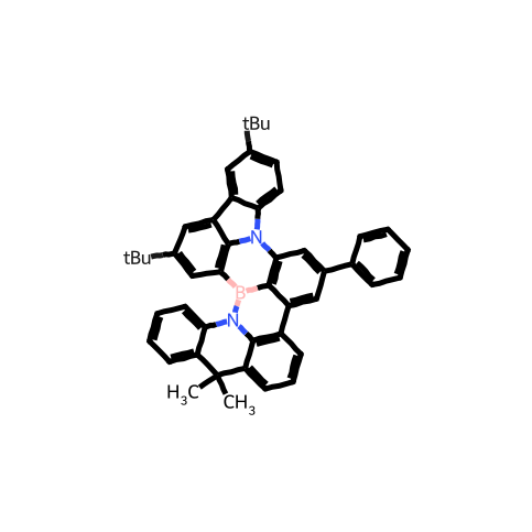 CC(C)(C)c1ccc2c(c1)c1cc(C(C)(C)C)cc3c1n2-c1cc(-c2ccccc2)cc2c1B3N1c3ccccc3C(C)(C)c3cccc-2c31